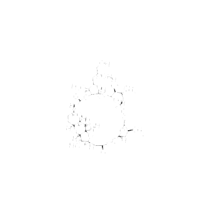 C=C1C[C@@H]2CCC(=O)C[C@H]3O[C@H]4[C@@H](O)[C@H]5O[C@H](CC[C@@H]5O[C@H]4[C@H]3O)CC(=O)CC3[C@@H](C)C(C[C@H](O)CO)O[C@H]3CC3O[C@@H](CCC1O2)C[C@@H](C)C3=C